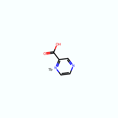 O=C(O)c1cnccn1.[Tb]